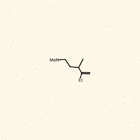 C=C(CC)C(C)CCNC